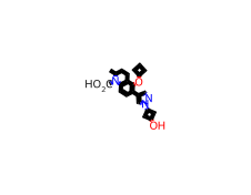 CC1CCc2c(ccc(-c3cnn(C4CC(O)C4)c3)c2OC2CCC2)N1C(=O)O